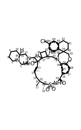 CO[C@]1(CN2CCN3CCCC[C@@H]3C2)/C=C/C[C@H](C)[C@@H](C)S(=O)(=O)NC(=O)c2ccc3c(c2)N(C[C@@H]2CC[C@H]21)CC1(CCCc2cc(Cl)ccc21)CO3